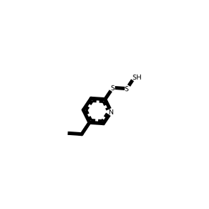 CCc1ccc(SSS)nc1